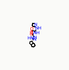 O=C(NC1CNc2ncccc2OC1=O)c1nnc([C@H]2CCc3ccccc32)[nH]1